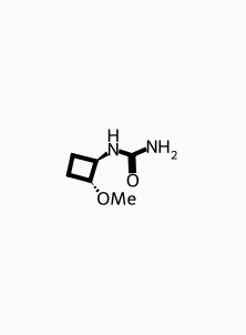 CO[C@@H]1CC[C@H]1NC(N)=O